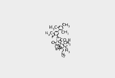 Cc1cc(C)c(-c2cc(C)c(F)c([C@@H](CCC(=O)[C@H](CC(C)C)n3nc(CCN4CCC4)c(C)c(C)c3=O)CC(=O)O)c2)c(C)c1